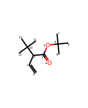 C=CC(C(=O)OC(C)(C)C)C(C)(C)C